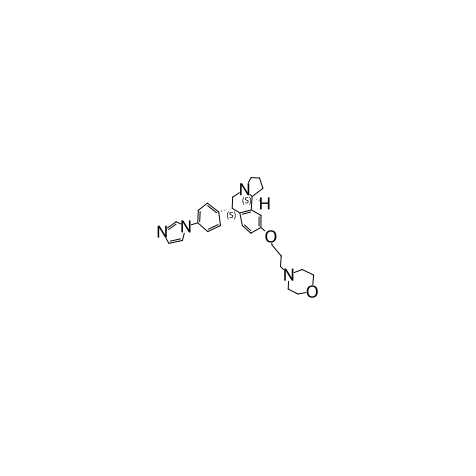 c1cn(-c2ccc([C@@H]3CN4CCC[C@H]4c4cc(OCCCN5CCOCC5)ccc43)cc2)cn1